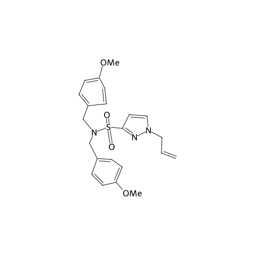 C=CCn1ccc(S(=O)(=O)N(Cc2ccc(OC)cc2)Cc2ccc(OC)cc2)n1